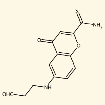 NC(=S)c1cc(=O)c2cc(NCCC=O)ccc2o1